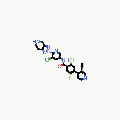 C#Cc1cnccc1-c1cc(Cl)c(C(=O)Nc2cnc(-n3nc4c(n3)CNCC4)c(Cl)c2)cc1F